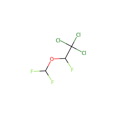 FC(F)OC(F)C(Cl)(Cl)Cl